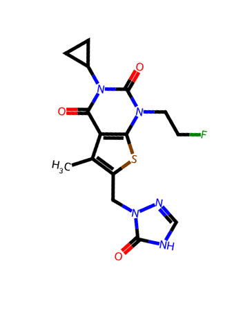 Cc1c(Cn2nc[nH]c2=O)sc2c1c(=O)n(C1CC1)c(=O)n2CCF